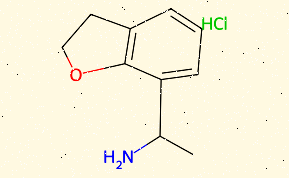 CC(N)c1cccc2c1OCC2.Cl